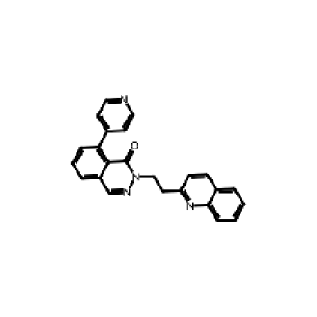 O=c1c2c(-c3ccncc3)cccc2cnn1CCc1ccc2ccccc2n1